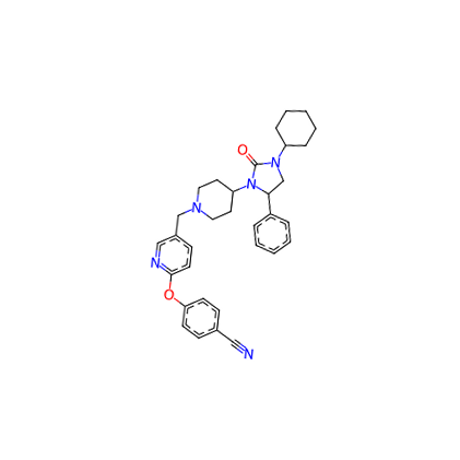 N#Cc1ccc(Oc2ccc(CN3CCC(N4C(=O)N(C5CCCCC5)CC4c4ccccc4)CC3)cn2)cc1